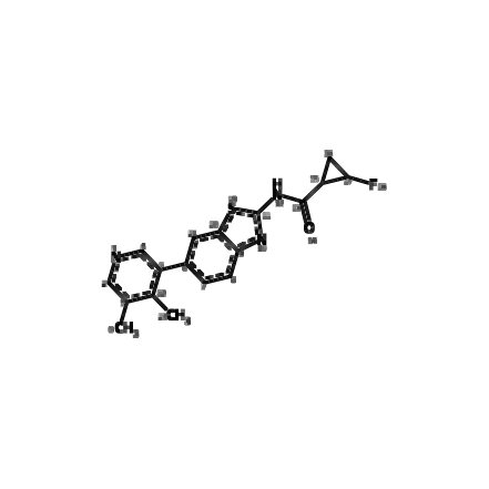 Cc1cncc(-c2ccc3nc(NC(=O)C4CC4F)sc3c2)c1C